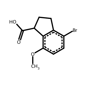 COc1ccc(Br)c2c1C(C(=O)O)CC2